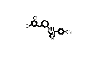 N#Cc1ccc(Cn2cncc2CNC2C=C(Cc3cc(Cl)cc(Cl)c3)CCCC2)cc1